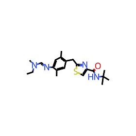 CCN(C)C=Nc1cc(C)c(Cc2nc(C(=O)NC(C)(C)C)cs2)cc1C